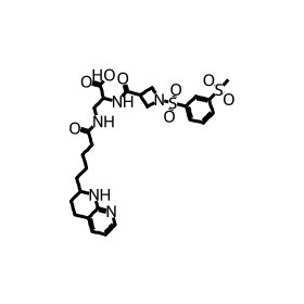 CS(=O)(=O)c1cccc(S(=O)(=O)N2CC(C(=O)NC(CNC(=O)CCCCC3CCc4cccnc4N3)C(=O)O)C2)c1